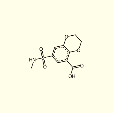 CNS(=O)(=O)c1cc2c(c(C(=O)O)c1)OCCO2